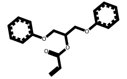 C=CC(=O)OC(COc1ccccc1)COc1ccccc1